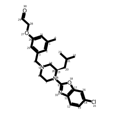 Cc1cc(CN2CCN(c3nc4ccc(Cl)cc4o3)[C@H](CC(C)C)C2)cc(OCC=O)c1